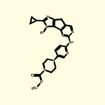 CC(C)n1c(C2CC2)nc2c1-c1nc(Nc3ccc(N4CCN(C(=O)OC(C)(C)C)CC4)cn3)ncc1C2